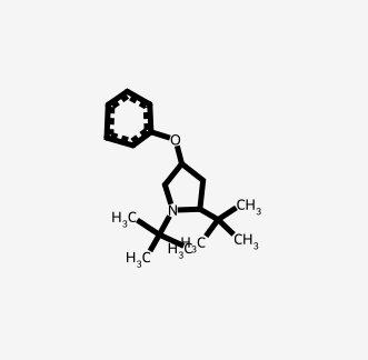 CC(C)(C)C1CC(Oc2ccccc2)CN1C(C)(C)C